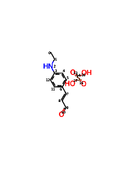 CCNc1ccc(/C=C/C=O)cc1.O=S(=O)(O)O